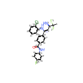 CC(F)(F)C(=N)/C=C(\Nc1ccccc1Cl)c1ccc(C(=O)Nc2ccc(F)cc2)cc1